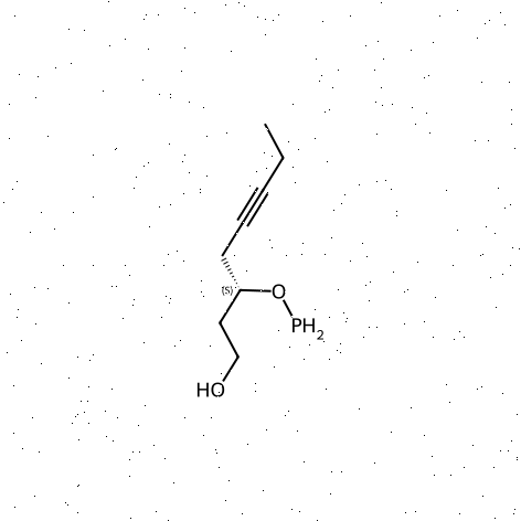 CCC#CC[C@@H](CCO)OP